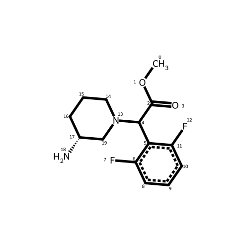 COC(=O)C(c1c(F)cccc1F)N1CCC[C@@H](N)C1